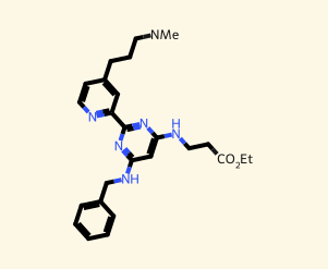 CCOC(=O)CCNc1cc(NCc2ccccc2)nc(-c2cc(CCCNC)ccn2)n1